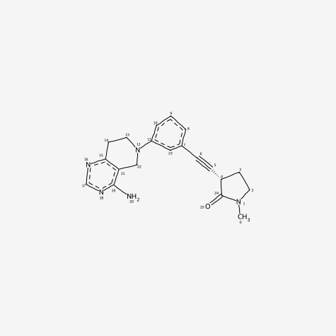 CN1CC[C@@H](C#Cc2cccc(N3CCc4ncnc(N)c4C3)c2)C1=O